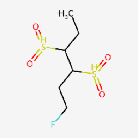 [CH2]CC(C(CCF)[SH](=O)=O)[SH](=O)=O